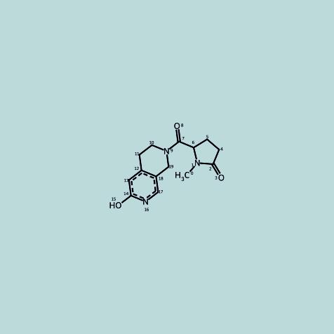 CN1C(=O)CCC1C(=O)N1CCc2cc(O)ncc2C1